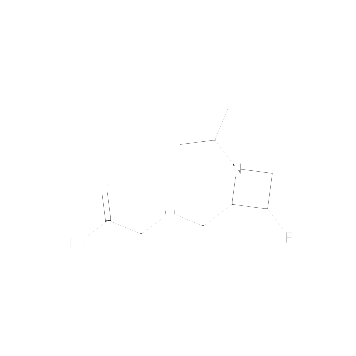 CC(C)N1CC(F)C1COCC(=O)O